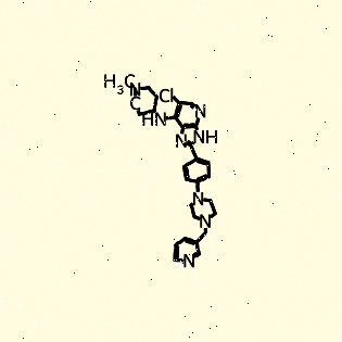 CN1CCC(Nc2c(Cl)cnc3[nH]c(-c4ccc(N5CCN(Cc6cccnc6)CC5)cc4)nc23)CC1